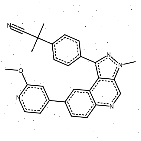 COc1cc(-c2ccc3ncc4c(c(-c5ccc(C(C)(C)C#N)cc5)nn4C)c3c2)ccn1